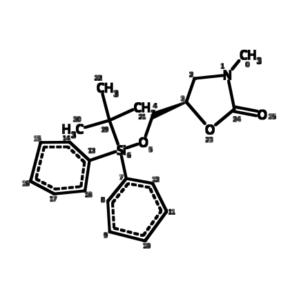 CN1C[C@H](CO[Si](c2ccccc2)(c2ccccc2)C(C)(C)C)OC1=O